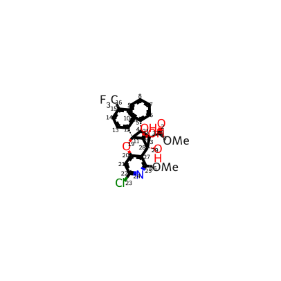 COC(=O)[C@@H]1[C@@H](c2ccccc2)[C@]2(c3ccc(C(F)(F)F)cc3)Oc3cc(Cl)nc(OC)c3[C@@]1(O)C2(O)O